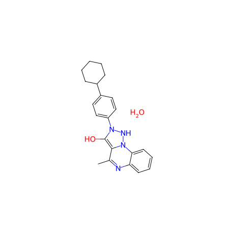 CC1=Nc2ccccc2N2NN(c3ccc(C4CCCCC4)cc3)C(O)=C12.O